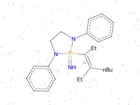 CCCC/C(CC)=C(\CC)P1(=N)N(c2ccccc2)CCN1c1ccccc1